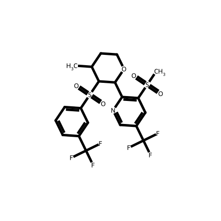 CC1CCOC(c2ncc(C(F)(F)F)cc2S(C)(=O)=O)C1S(=O)(=O)c1cccc(C(F)(F)F)c1